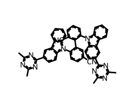 Cc1nc(C)nc(-c2ccc3c(c2)c2ccccc2n3-c2ccc(C#N)cc2-c2c(C#N)cccc2-n2c3ccccc3c3cc(-c4nc(C)nc(C)n4)ccc32)n1